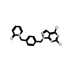 O=c1ccccn1Cc1ccc(Cn2ncc3c(Cl)nc(Cl)nc32)cc1